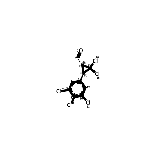 O=C[C@H]1[C@H](c2cc(Cl)c(Cl)c(Cl)c2)C1(Cl)Cl